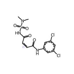 CN(C)S(=O)(=O)NC(=O)/C=C\C(=O)Nc1cc(Cl)cc(Cl)c1